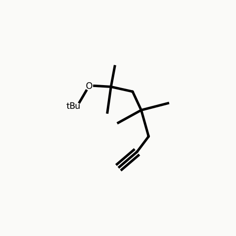 C#CCC(C)(C)CC(C)(C)OC(C)(C)C